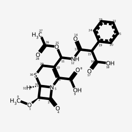 CO[C@@H]1C(=O)N2C(C(=O)O)=C(C(NC(=O)C(C(=O)O)c3ccccc3)OC(C)=O)CS[C@H]12